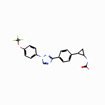 O=C(O)NC1CC1c1ccc(-c2ncn(-c3ccc(OC(F)(F)F)cc3)n2)cc1